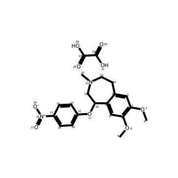 COc1cc2c(cc1OC)C(Oc1ccc([N+](=O)[O-])cc1)CN(C)CC2.O=C(O)C(=O)O